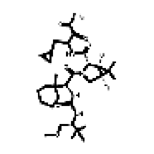 COC[C@@H](NC(=O)N[C@H](C(=O)N1C[C@H]2[C@@H]([C@H]1C(=O)NC(CC1CC1)C(=O)C(N)=O)C2(C)C)C1(C)CCCCC1)C(C)(C)C